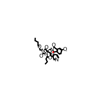 CCCCOCN1C(=O)N(C(=O)CCC)[C@@](CN2Cc3ccc(OC)cc3C2=O)(c2cc3cnccc3o2)C1=O